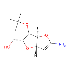 CC(C)(C)OC1[C@H]2OC(N)=C[C@@H]2O[C@@H]1CO